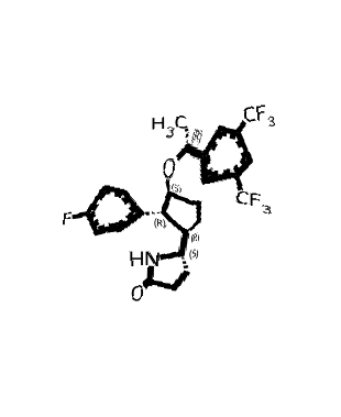 C[C@@H](O[C@H]1CC[C@@H]([C@@H]2CCC(=O)N2)[C@@H]1c1ccc(F)cc1)c1cc(C(F)(F)F)cc(C(F)(F)F)c1